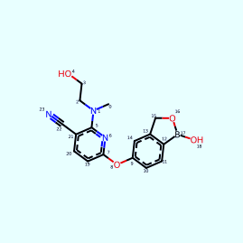 CN(CCO)c1nc(Oc2ccc3c(c2)COB3O)ccc1C#N